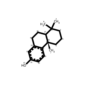 CC1(C)CCC[C@]2(C)c3ccc(O)cc3CCC12